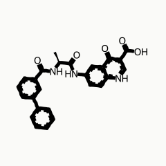 C[C@H](NC(=O)c1cccc(-c2ccccc2)c1)C(=O)Nc1ccc2[nH]cc(C(=O)O)c(=O)c2c1